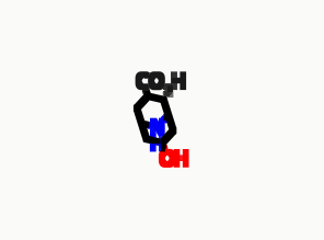 O=C(O)C1CC2CC(O)CC(C1)N2